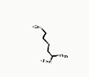 [CH2]CCCCC(CCCCCCCCC)CCCCCCCCCCCCCC